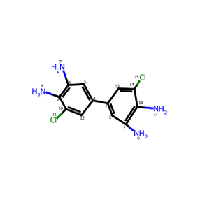 Nc1cc(-c2cc(N)c(N)c(Cl)c2)cc(Cl)c1N